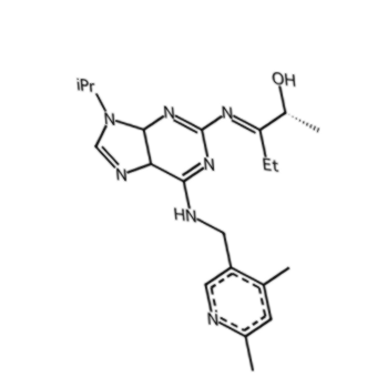 CC/C(=N\C1=NC2C(N=CN2C(C)C)C(NCc2cnc(C)cc2C)=N1)[C@@H](C)O